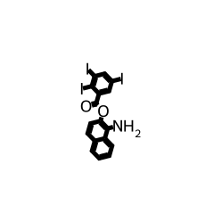 Nc1c(OC(=O)c2cc(I)cc(I)c2I)ccc2ccccc12